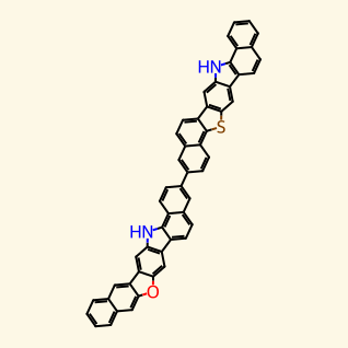 c1ccc2cc3c(cc2c1)oc1cc2c(cc13)[nH]c1c3ccc(-c4ccc5c(ccc6c7cc8[nH]c9c%10ccccc%10ccc9c8cc7sc56)c4)cc3ccc21